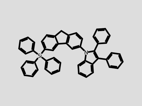 c1ccc(-c2c(-c3ccccc3)n(-c3ccc4c(c3)-c3cc([Si](c5ccccc5)(c5ccccc5)c5ccccc5)ccc3C4)c3ccccc23)cc1